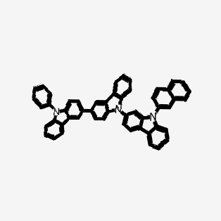 c1ccc(-n2c3ccccc3c3cc(-c4ccc5c(c4)c4ccccc4n5-c4ccc5c6ccccc6n(-c6ccc7ccccc7c6)c5c4)ccc32)cc1